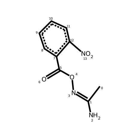 C/C(N)=N\OC(=O)c1ccccc1[N+](=O)[O-]